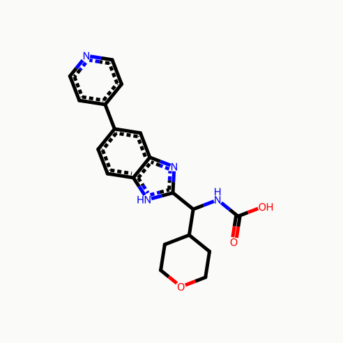 O=C(O)NC(c1nc2cc(-c3ccncc3)ccc2[nH]1)C1CCOCC1